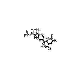 O=C(O)N(CC(F)F)c1nc2cc(-c3n[nH]c(=O)c4cc(F)c(F)cc34)ccc2[nH]1